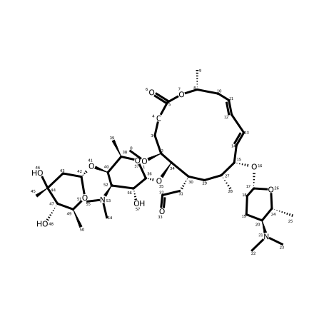 CO[C@H]1CCC(=O)O[C@H](C)C/C=C/C=C/[C@H](O[C@H]2CC[C@H](N(C)C)[C@@H](C)O2)[C@H](C)C[C@H](CC=O)[C@H]1O[C@H]1O[C@H](C)[C@H](O[C@H]2C[C@@](C)(O)[C@@H](O)[C@H](C)O2)[C@H](N(C)C)[C@H]1O